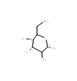 NCC1O[C@@H](O)C(O)[C@@H](O)[C@H]1O